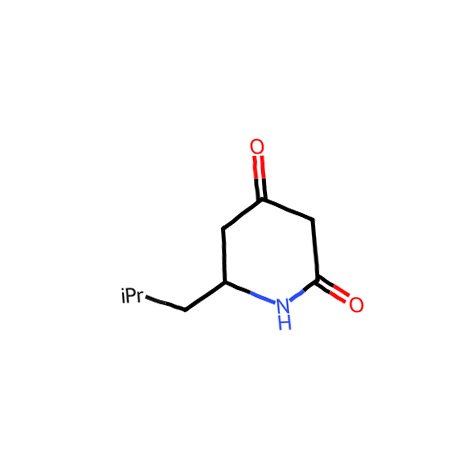 CC(C)CC1CC(=O)CC(=O)N1